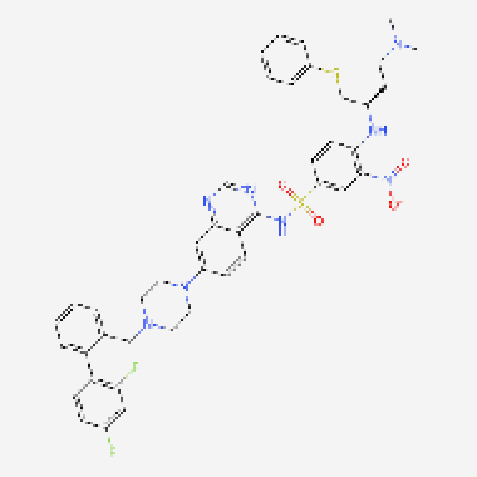 CN(C)CC[C@H](CSc1ccccc1)Nc1ccc(S(=O)(=O)Nc2ncnc3cc(N4CCN(Cc5ccccc5-c5ccc(F)cc5F)CC4)ccc23)cc1[N+](=O)[O-]